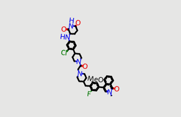 COc1cc(-c2cn(C)c(=O)c3ccccc23)cc(F)c1CC1CCN(CC(=O)N2CCC(c3ccc(NC4CCC(=O)NC4=O)cc3Cl)CC2)CC1